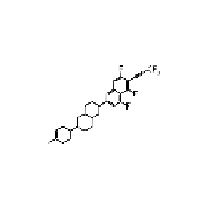 CC1=CCC(C2CCC3CC(c4cc(F)c5c(F)c(C#CC(F)(F)F)c(F)cc5c4)CCC3C2)CC1